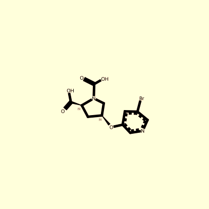 O=C(O)[C@@H]1C[C@H](Oc2cncc(Br)c2)CN1C(=O)O